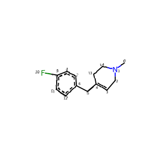 CN1CC=C(Cc2ccc(F)cc2)CC1